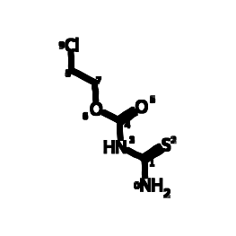 NC(=S)NC(=O)OCCCl